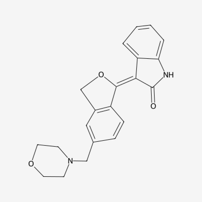 O=C1Nc2ccccc2C1=C1OCc2cc(CN3CCOCC3)ccc21